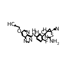 C#CCOc1cnc2c(Nc3ccc(F)c([C@@]4(C)N=C(N)S[C@@]5(C#N)C[C@H]54)c3)ncnc2c1